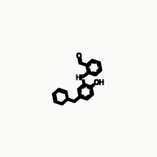 O=Cc1ccccc1Pc1cc(CC2C=CC=CC2)ccc1O